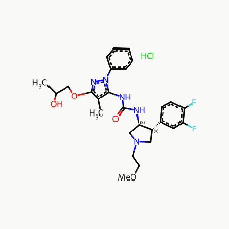 COCCN1C[C@@H](NC(=O)Nc2c(C)c(OCC(C)O)nn2-c2ccccc2)[C@H](c2ccc(F)c(F)c2)C1.Cl